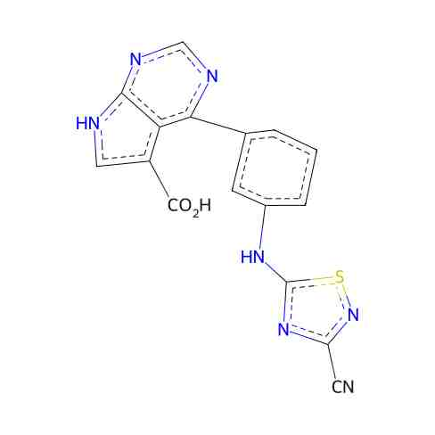 N#Cc1nsc(Nc2cccc(-c3ncnc4[nH]cc(C(=O)O)c34)c2)n1